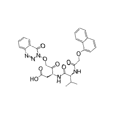 CC(C)[C@H](NC(=O)COc1cccc2ccccc12)C(=O)N[C@@H](CC(=O)O)C(=O)COn1nnc2ccccc2c1=O